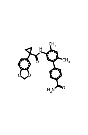 Cc1cc(C)c(-c2ccc(C(N)=O)cc2)cc1NC(=O)C1(c2ccc3c(c2)OCO3)CC1